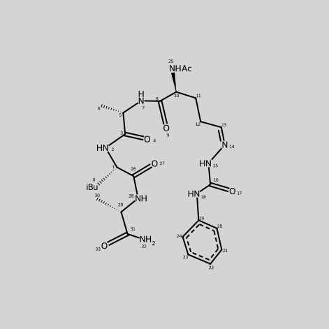 CCC(C)[C@H](NC(=O)[C@H](C)NC(=O)[C@H](CC/C=N\NC(=O)Nc1ccccc1)NC(C)=O)C(=O)N[C@@H](C)C(N)=O